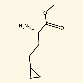 COC(=O)[C@@H](N)CCC1CC1